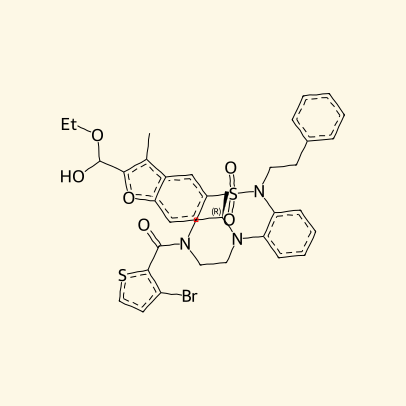 CCOC(O)c1oc2ccc(S(=O)(=O)N(CCc3ccccc3)c3ccccc3N3CCN(C(=O)c4sccc4Br)C[C@H]3C)cc2c1C